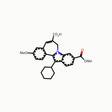 COC(=O)c1ccc2c(C3CCCCC3)c3n(c2c1)CC(C(=O)O)=Cc1cc(OC)ccc1-3